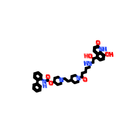 O=C(Nc1ccccc1-c1ccccc1)OC1CCN(CCC2CCN(C(=O)CCCCNC[C@@H](O)c3ccc(O)c4[nH]c(=O)ccc34)CC2)CC1